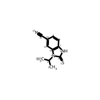 CC(C)n1c(=S)[nH]c2ccc(C#N)cc21